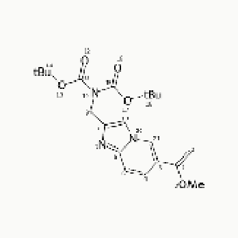 C=C(OC)c1ccc2nc(CN(C(=O)OC(C)(C)C)C(=O)OC(C)(C)C)cn2c1